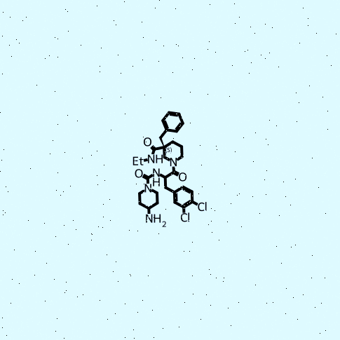 CCNC(=O)[C@]1(Cc2ccccc2)CCCN(C(=O)C(Cc2ccc(Cl)c(Cl)c2)NC(=O)N2CCC(N)CC2)C1